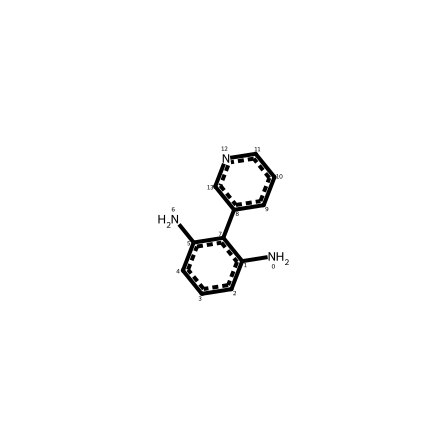 Nc1cccc(N)c1-c1cccnc1